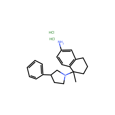 CC1(N2CCC(c3ccccc3)C2)CCCc2cc(N)ccc21.Cl.Cl